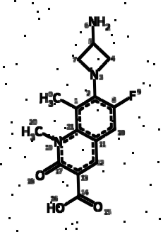 Cc1c(N2CC(N)C2)c(F)cc2cc(C(=O)O)c(=O)n(C)c12